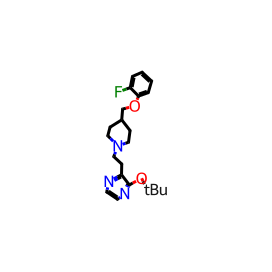 CC(C)(C)Oc1nccnc1CCN1CCC(COc2ccccc2F)CC1